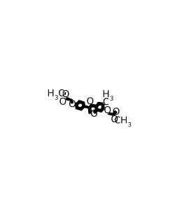 COC(=O)COc1ccc(-c2coc3cc(OCC(=O)OC)c(C)cc3c2=O)cc1